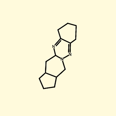 C1CCC2=NN3CC4CCCC4CC3N=C2C1